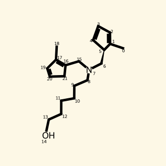 CC1=CC=C[C@@H]1CN(CCCCCCO)CC1=C(C)C=CC1